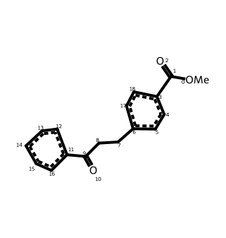 COC(=O)c1ccc(CCC(=O)c2ccccc2)cc1